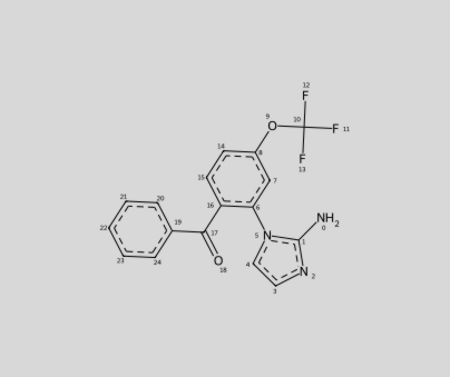 Nc1nccn1-c1cc(OC(F)(F)F)ccc1C(=O)c1ccccc1